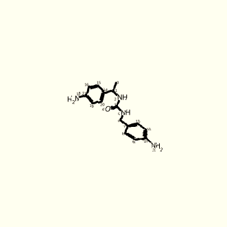 CC(NC(=O)NCc1ccc(N)cc1)c1ccc(N)cc1